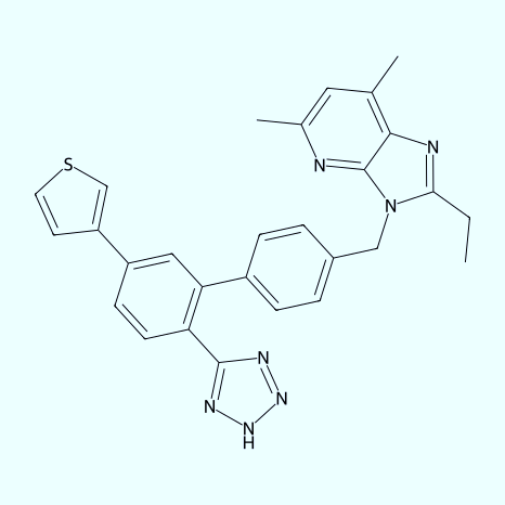 CCc1nc2c(C)cc(C)nc2n1Cc1ccc(-c2cc(-c3ccsc3)ccc2-c2nn[nH]n2)cc1